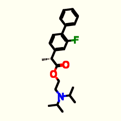 CC(C)N(CCOC(=O)[C@H](C)c1ccc(-c2ccccc2)c(F)c1)C(C)C